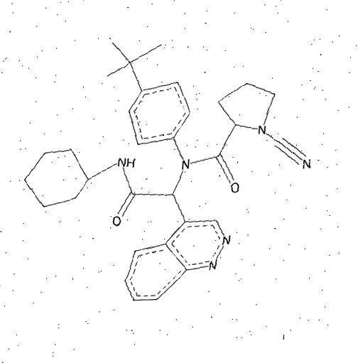 CC(C)(C)c1ccc(N(C(=O)C2CCCN2C#N)C(C(=O)NC2CCCCC2)c2cnnc3ccccc23)cc1